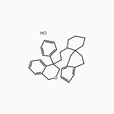 Cl.c1ccc(C2(CCN3CCCCC34CCc3ccccc3C4)COCc3ccccc32)cc1